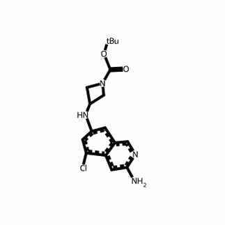 CC(C)(C)OC(=O)N1CC(Nc2cc(Cl)c3cc(N)ncc3c2)C1